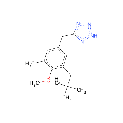 COc1c(C)cc(Cc2nn[nH]n2)cc1CC(C)(C)C